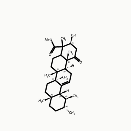 COC(=O)C1(C)C2CC[C@]3(C)[C@H](CC=C4[C@@H]5[C@@H](C)[C@H](C)CC[C@]5(C)CC[C@]43C)[C@@]2(C)C(=O)C[C@@H]1O